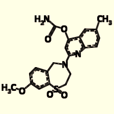 COc1ccc2c(c1)S(=O)(=O)CCN(c1cc(OC(N)=O)c3cc(C)ccc3n1)C2